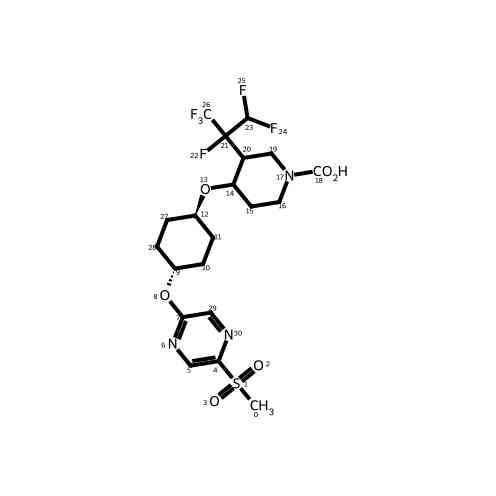 CS(=O)(=O)c1cnc(O[C@H]2CC[C@H](OC3CCN(C(=O)O)CC3C(F)(C(F)F)C(F)(F)F)CC2)cn1